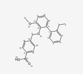 CCc1ccccc1-c1cccc(OC)c1OCc1ccc(C(=O)O)cc1